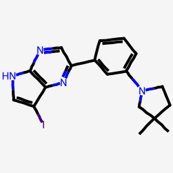 CC1(C)CCN(c2cccc(-c3cnc4[nH]cc(I)c4n3)c2)C1